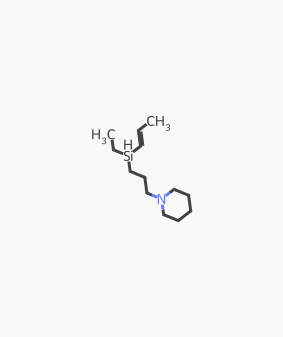 CC=C[SiH](CC)CCCN1CCCCC1